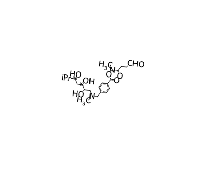 CC(C)[C@@H](O)C[C@H](O)C(O)CN(C)Cc1ccc(C(=O)ON(C)C(=O)CCC=O)cc1